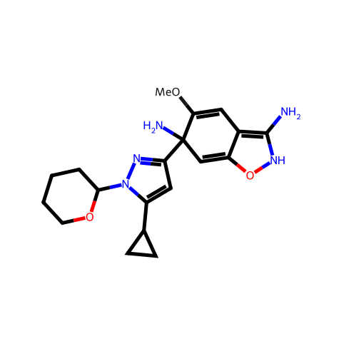 COC1=CC2=C(N)NOC2=CC1(N)c1cc(C2CC2)n(C2CCCCO2)n1